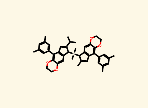 CC1=Cc2c(cc3c(c2-c2cc(C)cc(C)c2)OCCO3)C1[Si](C)(C)C1C(C(C)C)=Cc2c1cc1c(c2-c2cc(C)cc(C)c2)OCCO1